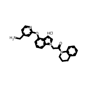 Cl.NCc1ccnc(Oc2cccc3c2ccn3CC(=O)N2CCCc3ccccc32)c1